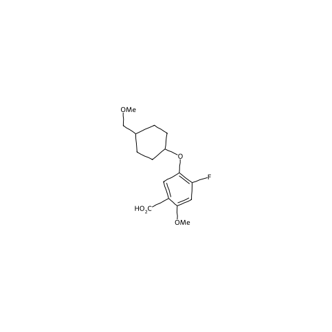 COCC1CCC(Oc2cc(C(=O)O)c(OC)cc2F)CC1